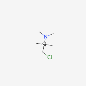 CN(C)[Si](C)(C)CCl